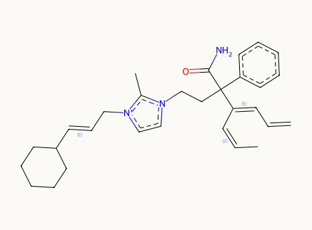 C=C/C=C(\C=C/C)C(CCn1cc[n+](C/C=C/C2CCCCC2)c1C)(C(N)=O)c1ccccc1